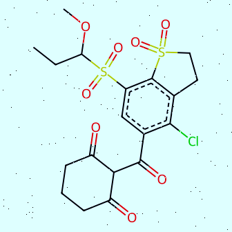 CCC(OC)S(=O)(=O)c1cc(C(=O)C2C(=O)CCCC2=O)c(Cl)c2c1S(=O)(=O)CC2